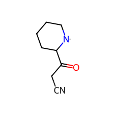 N#CCC(=O)C1CCCC[N]1